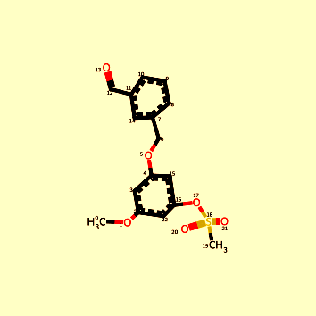 COc1cc(OCc2cccc(C=O)c2)cc(OS(C)(=O)=O)c1